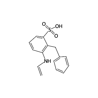 C=CNc1cccc(S(=O)(=O)O)c1Cc1ccccc1